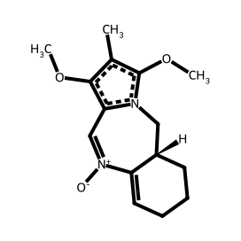 COc1c(C)c(OC)n2c1C=[N+]([O-])C1=CCCC[C@H]1C2